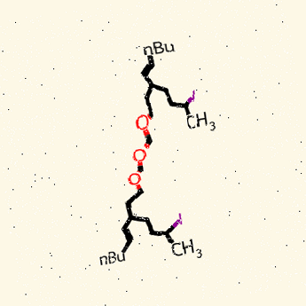 CCCCC=CC(CCOCOCOCCC(C=CCCCC)CCC(C)I)CCC(C)I